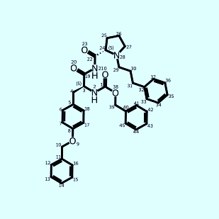 O=C(N[C@@H](Cc1ccc(OCc2ccccc2)cc1)C(=O)NC(=O)[C@@H]1CCCN1CCCc1ccccc1)OCc1ccccc1